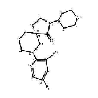 O=C1N(C2CCOCC2)CC[C@]12CCCN(c1ncc(F)cc1F)C2